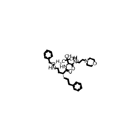 CC(C)(C)[C@H](NC(=O)[C@H](CCCc1ccccc1)CCNOCc1ccccc1)C(=O)NCCN1CCOCC1